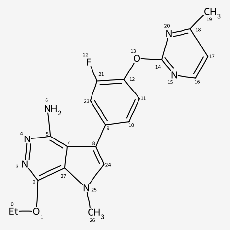 CCOc1nnc(N)c2c(-c3ccc(Oc4nccc(C)n4)c(F)c3)cn(C)c12